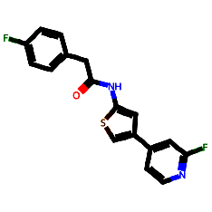 O=C(Cc1ccc(F)cc1)Nc1cc(-c2ccnc(F)c2)cs1